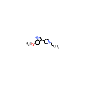 CCCN1CC=C(c2c[nH]c3cc(OC)ccc23)CC1